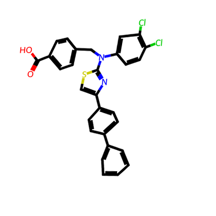 O=C(O)c1ccc(CN(c2ccc(Cl)c(Cl)c2)c2nc(-c3ccc(-c4ccccc4)cc3)cs2)cc1